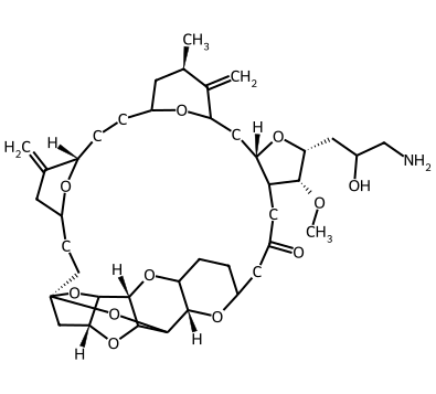 C=C1C2C[C@@H]3O[C@H](CC(O)CN)[C@H](OC)C3CC(=O)CC3CCC4O[C@@H]5C6O[C@@H]7C[C@](CCC8CC(=C)[C@H](CCC(C[C@H]1C)O2)O8)(OC6[C@H]4O3)OC57